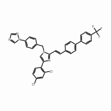 FC(F)(F)c1ccc(-c2ccc(/C=C/c3nc(-c4ccc(Cl)cc4Cl)cn3Cc3ccc(-n4cncn4)cc3)cc2)cc1